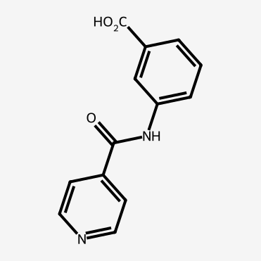 O=C(O)c1cccc(NC(=O)c2ccncc2)c1